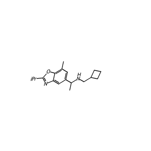 Cc1cc(C(C)NCC2CCC2)cc2nc(C(C)C)oc12